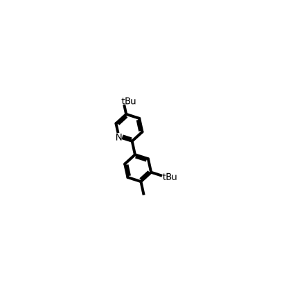 Cc1ccc(-c2ccc(C(C)(C)C)cn2)cc1C(C)(C)C